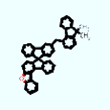 CC1(C)c2ccccc2-c2c(Cc3ccc4c(c3)-c3ccccc3C43c4ccccc4-c4c3ccc3oc5ccccc5c43)cccc21